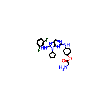 NCC(=O)OC1CCC(Nc2ncc3nc(Nc4c(F)cccc4F)n(C4CCCC4)c3n2)CC1